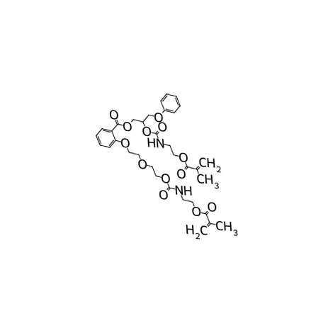 C=C(C)C(=O)OCCNC(=O)OCCOCCOc1ccccc1C(=O)OCC(COc1ccccc1)OC(=O)NCCOC(=O)C(=C)C